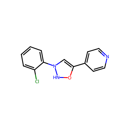 Clc1ccccc1N1C=C(c2ccncc2)ON1